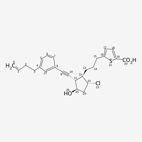 C=CCCc1cccc(C#C[C@@H]2[C@@H](CCCc3ccc(C(=O)O)s3)[C@H](Cl)C[C@H]2O)c1